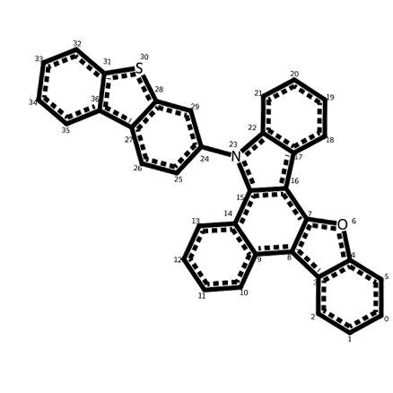 c1ccc2c(c1)oc1c2c2ccccc2c2c1c1ccccc1n2-c1ccc2c(c1)sc1ccccc12